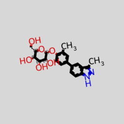 Cc1cc(-c2ccc3[nH]nc(C)c3c2)ccc1O[C@@H]1O[C@@H](CO)[C@H](O)[C@@H](O)[C@H]1O